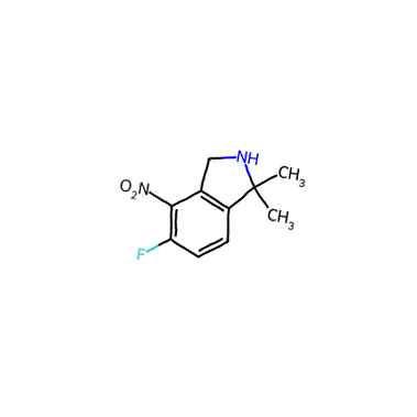 CC1(C)NCc2c1ccc(F)c2[N+](=O)[O-]